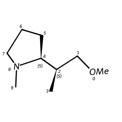 COC[C@@H](C)[C@@H]1CCCN1C